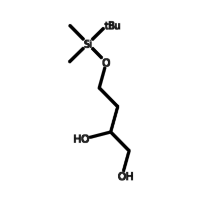 CC(C)(C)[Si](C)(C)OCCC(O)CO